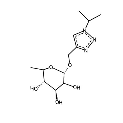 CC1O[C@H](OCc2cn(C(C)C)nn2)C(O)[C@@H](O)[C@@H]1O